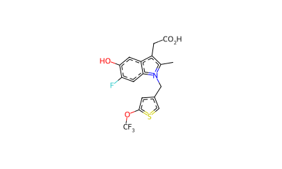 Cc1c(CC(=O)O)c2cc(O)c(F)cc2n1Cc1csc(OC(F)(F)F)c1